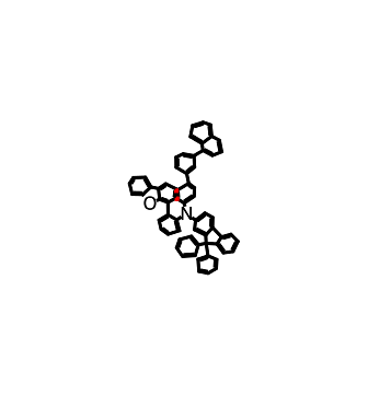 c1ccc(C2(c3ccccc3)c3ccccc3-c3ccc(N(c4ccc(-c5cccc(-c6cccc7ccccc67)c5)cc4)c4ccccc4-c4cccc5c4oc4ccccc45)cc32)cc1